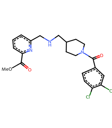 COC(=O)c1cccc(CNCC2CCN(C(=O)c3ccc(Cl)c(Cl)c3)CC2)n1